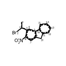 CC(Br)c1cc2c(cc1[N+](=O)[O-])Cc1ccccc1-2